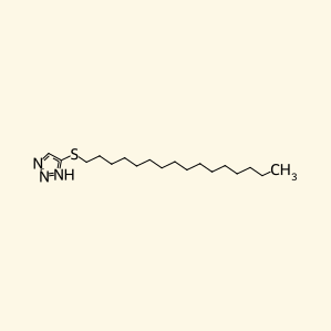 CCCCCCCCCCCCCCCCSc1cnn[nH]1